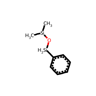 C[Si](C)O[SiH2]c1ccccc1